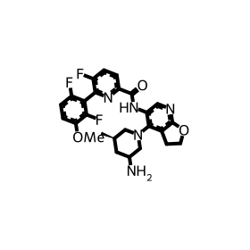 COc1ccc(F)c(-c2nc(C(=O)Nc3cnc4c(c3N3CC(N)C[C@@H](C)C3)CCO4)ccc2F)c1F